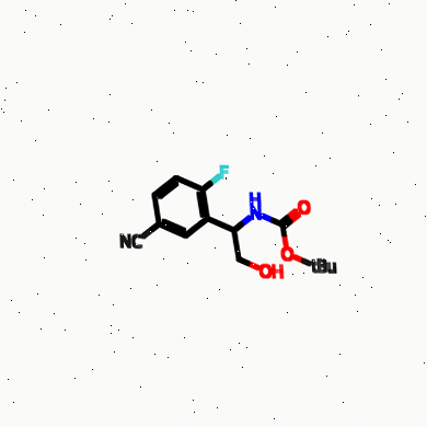 CC(C)(C)OC(=O)NC(CO)c1cc(C#N)ccc1F